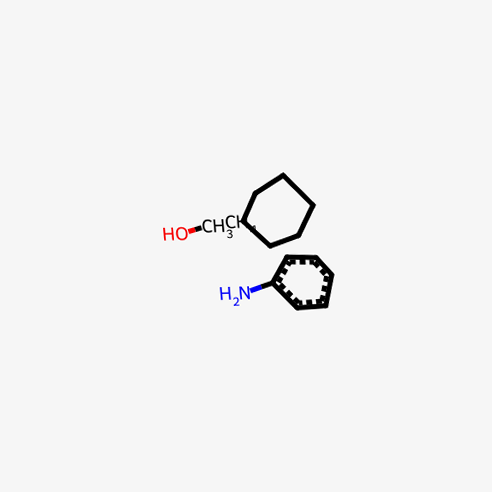 C.C1CCCCC1.CO.Nc1ccccc1